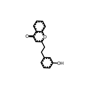 O=c1cc(CCc2cccc(O)c2)oc2ccccc12